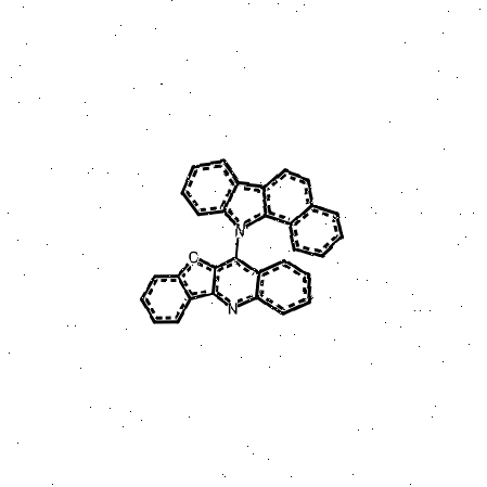 c1ccc2c(c1)ccc1c3ccccc3n(-c3c4ccccc4nc4c3oc3ccccc34)c21